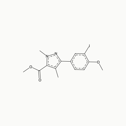 COC(=O)c1c(C)c(-c2ccc(OC)c(I)c2)nn1C